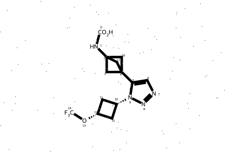 O=C(O)NC12CC(c3cnnn3[C@H]3C[C@@H](OC(F)(F)F)C3)(C1)C2